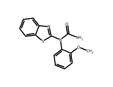 COc1ccccc1N(C(N)=O)c1nc2ccccc2s1